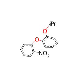 CC(C)Oc1ccccc1Oc1ccccc1[N+](=O)[O-]